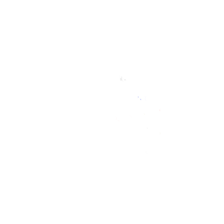 CC#CC(O)C(NS(=O)(=O)c1cccs1)[C@@H](C)CC